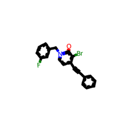 O=c1c(Br)c(C#Cc2ccccc2)ccn1Cc1cccc(F)c1